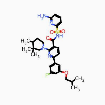 CC(C)COc1cc(F)cc(-c2ccc(C(=O)NS(=O)(=O)c3cccc(N)n3)c(N3CCC(C)C(C)(C)C3)n2)c1